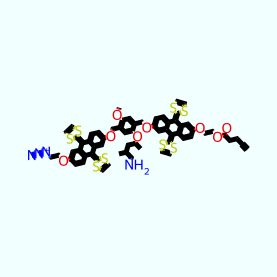 C#CCCC(=O)OCCOc1ccc2c(=C3SC=CS3)c3cc(OCc4cc(OC)c(COc5ccc6c(=C7SC=CS7)c7cc(OCCN=[N+]=[N-])ccc7c(=C7SC=CS7)c6c5)cc4OC(C)CC(C)CN)ccc3c(=C3SC=CS3)c2c1